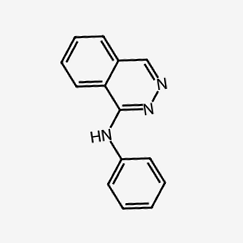 c1ccc(Nc2nncc3ccccc23)cc1